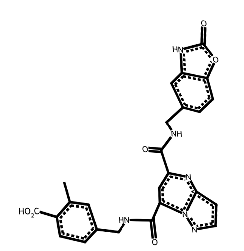 Cc1cc(CNC(=O)c2cc(C(=O)NCc3ccc4oc(=O)[nH]c4c3)nc3ccnn23)ccc1C(=O)O